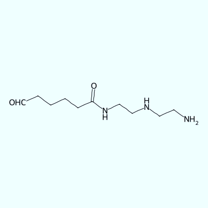 NCCNCCNC(=O)CCCCC=O